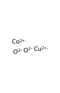 [Co+2].[Cu+2].[O-2].[O-2]